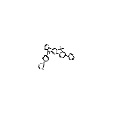 CC1(C)c2cc(-c3ccccc3)ccc2-c2cc3c(cc21)c1ncccc1n3-c1ccc(-c2cccnc2)cc1